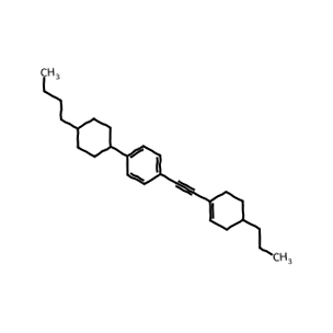 CCCCC1CCC(c2ccc(C#CC3=CCC(CCC)CC3)cc2)CC1